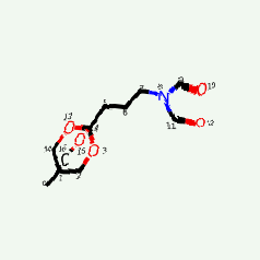 CC12COC(CCCN(C=O)C=O)(OC1)OC2